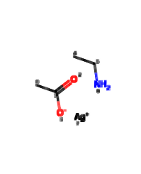 CC(=O)[O-].CCN.[Ag+]